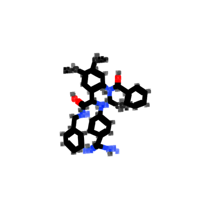 COc1cc(C(Nc2ccc(C(=N)N)cc2)C(=O)NCc2ccccc2)c(N(CC(=O)O)C(=O)c2ccccc2)cc1OC